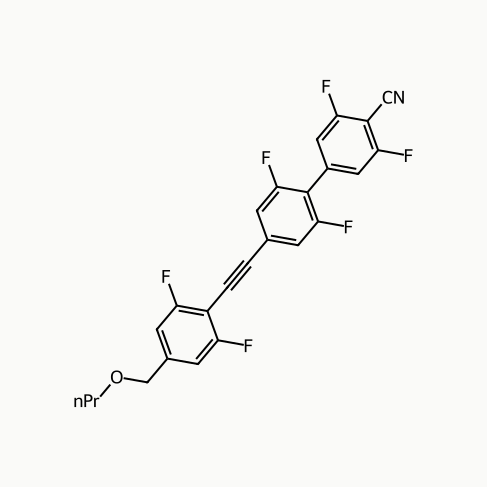 CCCOCc1cc(F)c(C#Cc2cc(F)c(-c3cc(F)c(C#N)c(F)c3)c(F)c2)c(F)c1